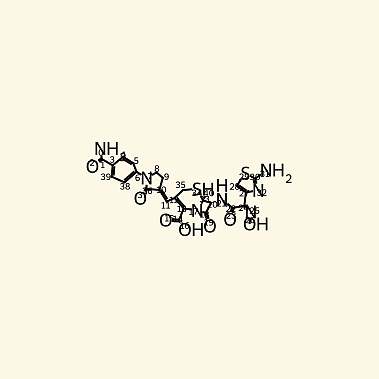 NC(=O)c1ccc(N2CC/C(=C\C3=C(C(=O)O)N4C(=O)[C@@H](NC(=O)/C(=N\O)c5csc(N)n5)[C@H]4SC3)C2=O)cc1